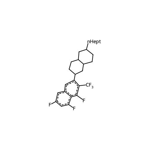 CCCCCCCC1CCC2CC(c3cc4cc(F)cc(F)c4c(F)c3C(F)(F)F)CCC2C1